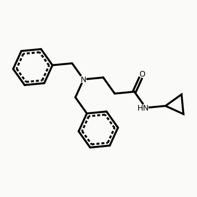 O=C(CCN(Cc1ccccc1)Cc1ccccc1)NC1CC1